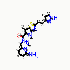 C=NN(Cc1cccc(N)n1)C(=O)c1c(C)c2sc(CCc3cc[nH]n3)nc2n1C